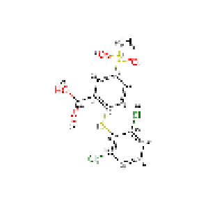 CS(=O)(=O)c1ccc(Sc2c(Cl)cccc2Cl)c(C(=O)O)c1